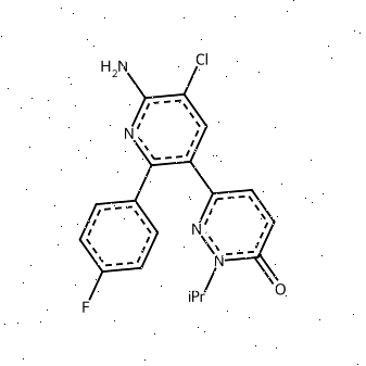 CC(C)n1nc(-c2cc(Cl)c(N)nc2-c2ccc(F)cc2)ccc1=O